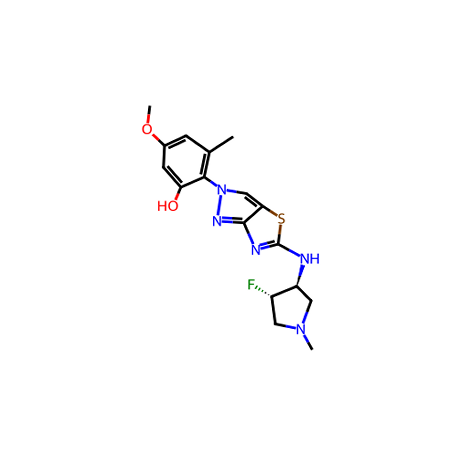 COc1cc(C)c(-n2cc3sc(N[C@H]4CN(C)C[C@@H]4F)nc3n2)c(O)c1